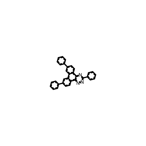 c1ccc(-c2ccc3c(c2)c2cc(-c4ccccc4)ccc2c2nc(-c4ccccc4)nnc32)cc1